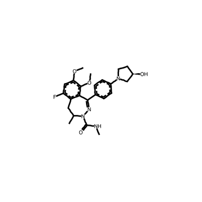 CNC(=O)N1N=C(c2ccc(N3CC[C@@H](O)C3)cc2)c2c(c(F)cc(OC)c2OC)CC1C